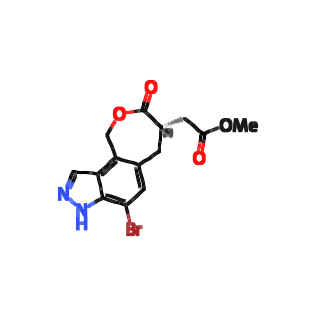 COC(=O)C[C@@H]1Cc2cc(Br)c3[nH]ncc3c2COC1=O